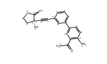 NC(=O)c1nc(-c2cccc(C#C[C@@]3(O)CCOC3=O)c2)ccc1N